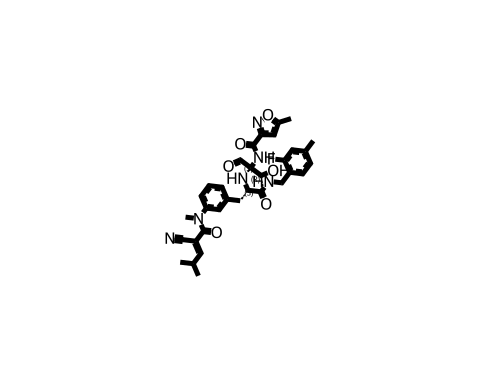 Cc1ccc(CNC(=O)[C@H](Cc2cccc(N(C)C(=O)C(C#N)=CC(C)C)c2)N[C@](C=O)(NC(=O)c2cc(C)on2)[C@@H](C)O)c(F)c1